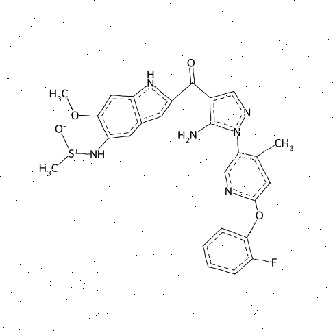 COc1cc2[nH]c(C(=O)c3cnn(-c4cnc(Oc5ccccc5F)cc4C)c3N)cc2cc1N[S+](C)[O-]